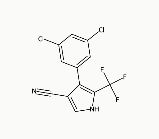 N#Cc1c[nH]c(C(F)(F)F)c1-c1cc(Cl)cc(Cl)c1